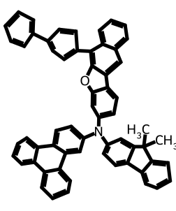 CC1(C)c2ccccc2-c2ccc(N(c3ccc4c(c3)oc3c(-c5ccc(-c6ccccc6)cc5)c5ccccc5cc34)c3ccc4c5ccccc5c5ccccc5c4c3)cc21